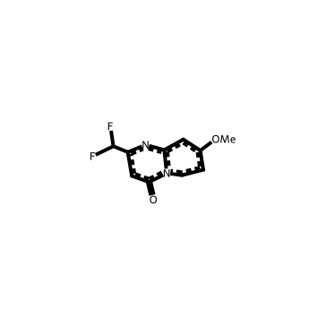 COc1ccn2c(=O)cc(C(F)F)nc2c1